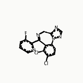 Fc1cccnc1C1=NCc2ncnn2-c2ccc(Cl)c(Cl)c21